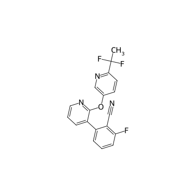 CC(F)(F)c1ccc(Oc2ncccc2-c2cccc(F)c2C#N)cn1